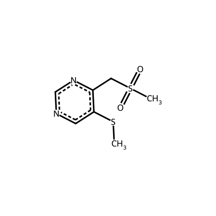 CSc1cncnc1CS(C)(=O)=O